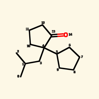 CC(C)CC1(C2CCCC2)CCCC1=O